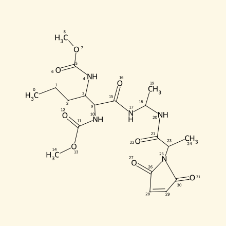 CCCC(NC(=O)OC)C(NC(=O)OC)C(=O)NC(C)NC(=O)C(C)N1C(=O)C=CC1=O